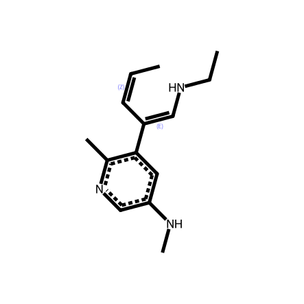 C/C=C\C(=C/NCC)c1cc(NC)cnc1C